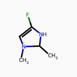 CC1NC(F)=CN1C